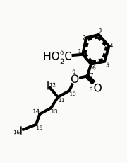 O=C(O)c1ccccc1C(=O)OCC(I)CCCI